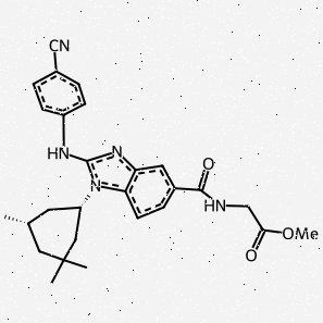 COC(=O)CNC(=O)c1ccc2c(c1)nc(Nc1ccc(C#N)cc1)n2[C@H]1C[C@@H](C)CC(C)(C)C1